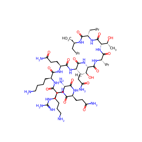 CC(C)C[C@H](NC(=O)[C@H](CC(C)C)NC(=O)[C@@H](NC(=O)[C@@H](NC(=O)[C@@H](NC(=O)[C@H](CCC(N)=O)NC(=O)[C@H](CCC(N)=O)NC(=O)[C@H](CCCCN)NC(=O)[C@H](CCCCN)NC(=O)[C@H](CCC(N)=O)NC(=O)[C@@H](N)CCCNC(=N)N)[C@@H](C)O)C(C)C)[C@@H](C)O)C(=O)O